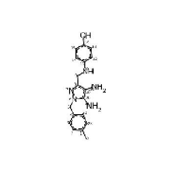 Cc1ccc(Cn2nc(CNc3ccc(O)cc3)c(N)c2N)cc1